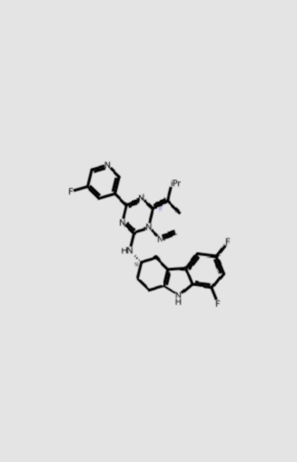 C=NN1C(N[C@H]2CCc3[nH]c4c(F)cc(F)cc4c3C2)=NC(c2cncc(F)c2)=N/C1=C(/C)C(C)C